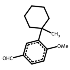 COc1ccc([C]=O)cc1C1(C)CCCCC1